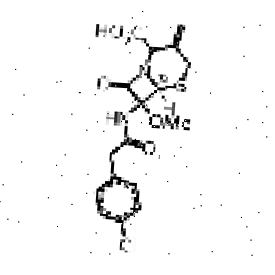 C=C1CS[C@@H]2N(C(=O)C2(NC(=O)Cc2ccc(Cl)cc2)OC)C1C(=O)O